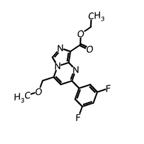 CCOC(=O)c1ncn2c(COC)cc(-c3cc(F)cc(F)c3)nc12